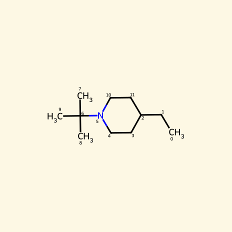 CCC1CCN(C(C)(C)C)CC1